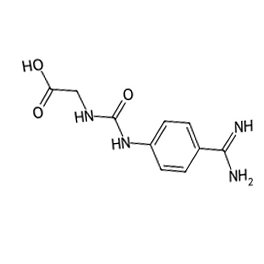 N=C(N)c1ccc(NC(=O)NCC(=O)O)cc1